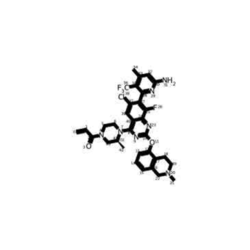 C=CC(=O)N1CCN(c2nc(Oc3cccc4c3CCN(C)C4)nc3c(F)c(-c4nc(N)cc(C)c4C(F)(F)F)c(Cl)cc23)[C@@H](C)C1